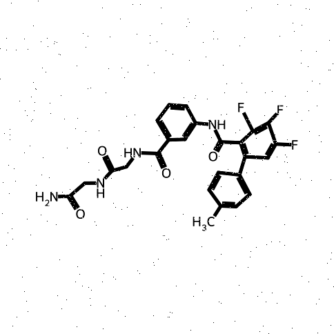 Cc1ccc(-c2cc(F)c(F)c(F)c2C(=O)Nc2cccc(C(=O)NCC(=O)NCC(N)=O)c2)cc1